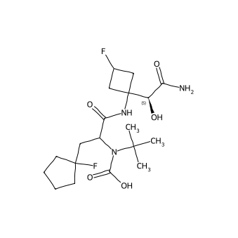 CC(C)(C)N(C(=O)O)C(CC1(F)CCCC1)C(=O)NC1([C@H](O)C(N)=O)CC(F)C1